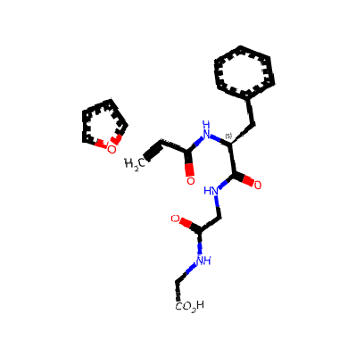 C=CC(=O)N[C@@H](Cc1ccccc1)C(=O)NCC(=O)NCC(=O)O.c1ccoc1